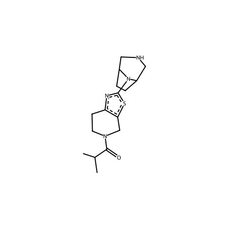 CC(C)C(=O)N1CCc2nc(N3C4CCC3CNC4)sc2C1